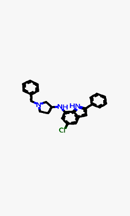 Clc1cc(NC2CCN(Cc3ccccc3)C2)c2[nH]c(-c3ccccc3)cc2c1